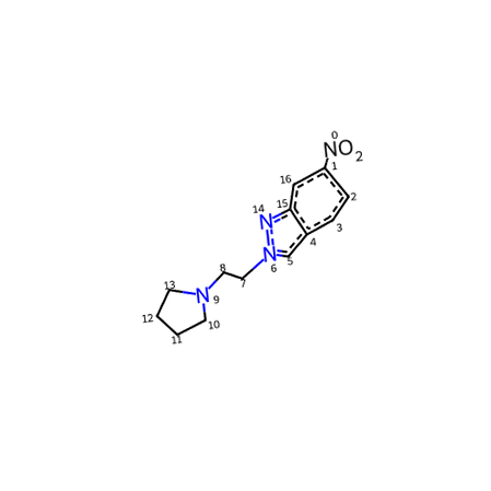 O=[N+]([O-])c1ccc2cn(CCN3CCCC3)nc2c1